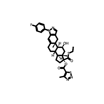 CCSC(=O)[C@@]1(OC(=O)c2snnc2C)CC[C@H]2[C@@H]3CCC4=Cc5c(cnn5-c5ccc(F)cc5)C[C@]4(C)[C@H]3[C@@H](O)C[C@@]21C